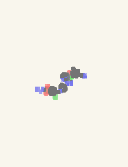 Cc1cc(C#N)cc(Cl)c1Oc1ccnc(NC2CCN(Cc3ccc(S(N)(=O)=O)cc3Cl)CC2)n1